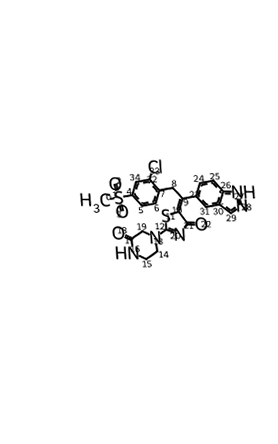 CS(=O)(=O)c1ccc(CC(=C2SC(N3CCNC(=O)C3)=NC2=O)c2ccc3[nH]ncc3c2)c(Cl)c1